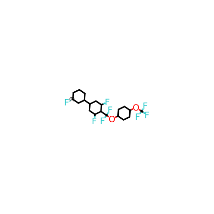 FC1CC(C2CCC[C@@H](F)C2)CC(F)C1C(F)(F)OC1CCC(OC(F)(F)F)CC1